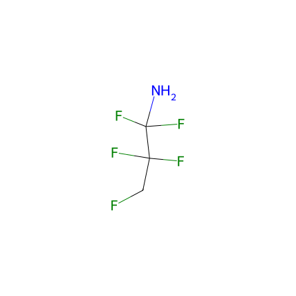 NC(F)(F)C(F)(F)CF